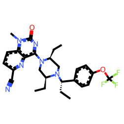 CC[C@H]1CN([C@@H](CC)c2ccc(OC(F)(F)F)cc2)[C@@H](CC)CN1c1nc(=O)n(C)c2ccc(C#N)nc12